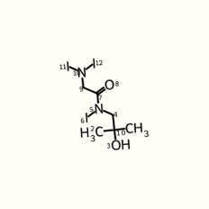 CC(C)(O)CN(I)C(=O)CN(I)I